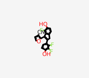 N#Cc1ccoc1C1=C(c2ccc(O)c(F)c2F)Cc2ccc(O)c(F)c21